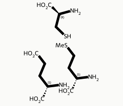 CSCC[C@H](N)C(=O)O.N[C@@H](CCC(=O)O)C(=O)O.N[C@@H](CS)C(=O)O